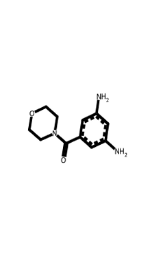 Nc1cc(N)cc(C(=O)N2CCOCC2)c1